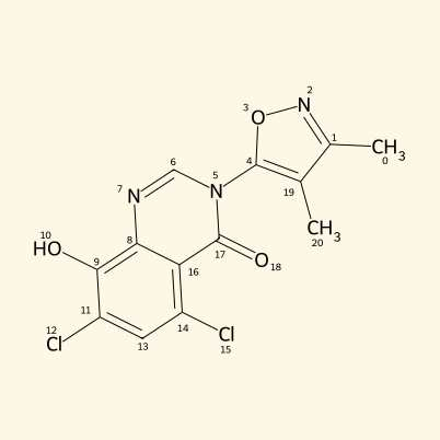 Cc1noc(-n2cnc3c(O)c(Cl)cc(Cl)c3c2=O)c1C